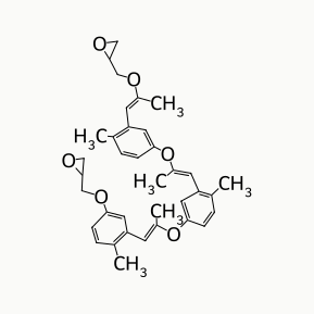 C/C(=C\c1cc(O/C(C)=C/c2cc(O/C(C)=C/c3cc(OCC4CO4)ccc3C)ccc2C)ccc1C)OCC1CO1